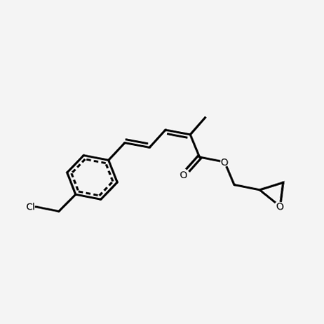 CC(=CC=Cc1ccc(CCl)cc1)C(=O)OCC1CO1